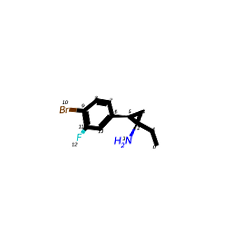 CC[C@@]1(N)C[C@@H]1c1ccc(Br)c(F)c1